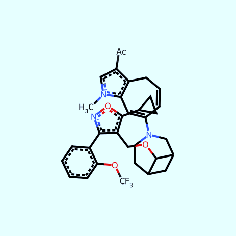 CC(=O)c1cn(C)c2c1CC=CC(N1CCC3CC(C1)C3OCc1c(-c3ccccc3OC(F)(F)F)noc1C1CC1)=C2